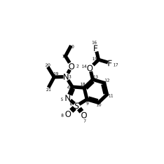 CCON(C1=NS(=O)(=O)c2cccc(OC(F)F)c21)C(C)C